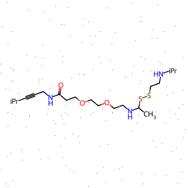 CC(C)C#CCNC(=O)CCOCCOCCNC(C)SSCCNC(C)C